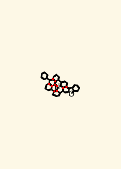 c1ccc(-c2ccc(N(c3ccccc3-c3ccc4c(c3)oc3ccccc34)c3ccccc3-c3ccccc3-c3cccc4ccccc34)cc2)cc1